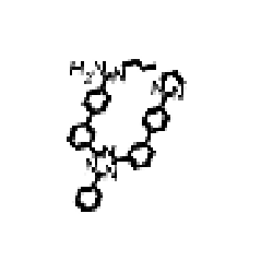 C=C/C=C\N=C(/N)c1ccc(-c2cccc(-c3nc(-c4ccccc4)nc(-c4cccc(-c5ccc(-c6ncccn6)cc5)c4)n3)c2)cc1